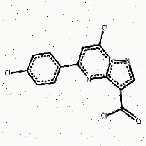 O=C(Cl)c1cnn2c(Cl)cc(-c3ccc(Cl)cc3)nc12